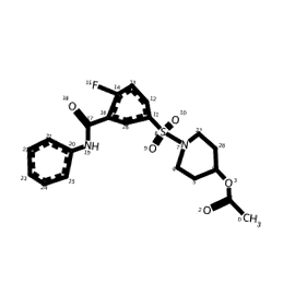 CC(=O)OC1CCN(S(=O)(=O)c2ccc(F)c(C(=O)Nc3ccccc3)c2)CC1